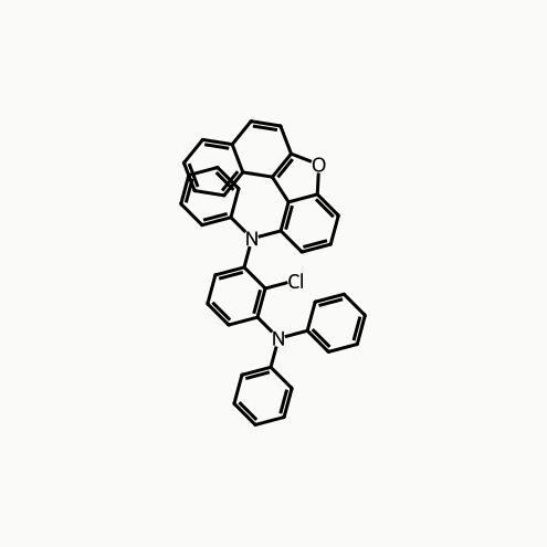 Clc1c(N(c2ccccc2)c2ccccc2)cccc1N(c1ccccc1)c1cccc2oc3ccc4ccccc4c3c12